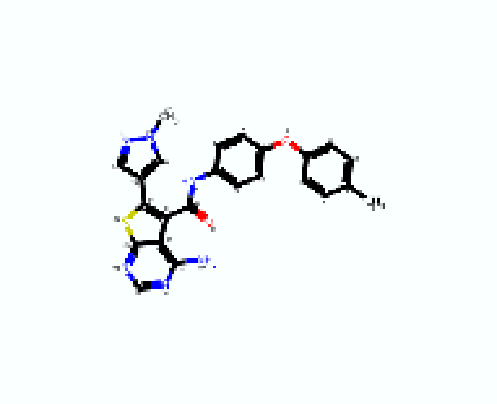 Cc1ccc(Oc2ccc(NC(=O)c3c(-c4cnn(C)c4)sc4ncnc(N)c34)cc2)cc1